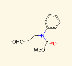 COC(=O)N(CC[C]=O)c1ccccc1